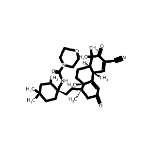 CC1CC(C)(C)CC[C@@]1(CC[C@]1(C)CC(=O)C=C2[C@@]3(C)C=C(C#N)C(=O)C(C)(C)[C@@H]3CC[C@]21C)NC(=O)N1CCOCC1